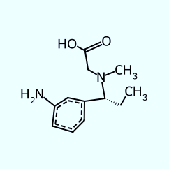 CC[C@H](c1cccc(N)c1)N(C)CC(=O)O